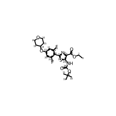 CCOC(=O)c1nc(-c2c(F)cc(OC3CCOCC3)cc2F)sc1NC(=O)OC(C)(C)C